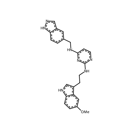 COc1ccc2[nH]cc(CCNc3nccc(NCc4ccc5[nH]ncc5c4)n3)c2c1